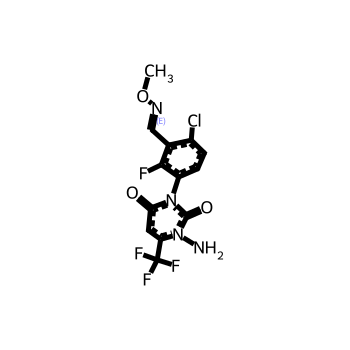 CO/N=C/c1c(Cl)ccc(-n2c(=O)cc(C(F)(F)F)n(N)c2=O)c1F